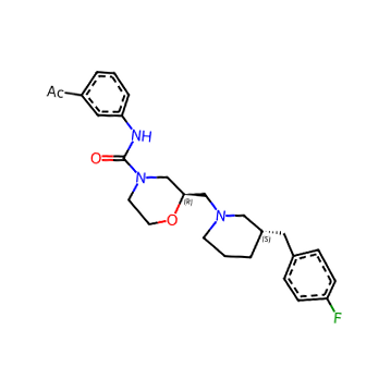 CC(=O)c1cccc(NC(=O)N2CCO[C@H](CN3CCC[C@@H](Cc4ccc(F)cc4)C3)C2)c1